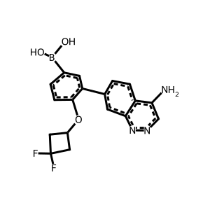 Nc1cnnc2cc(-c3cc(B(O)O)ccc3OC3CC(F)(F)C3)ccc12